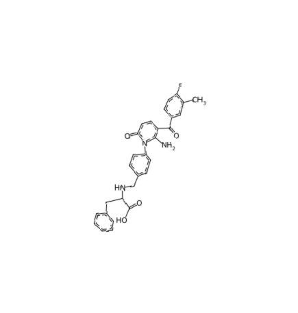 Cc1cc(C(=O)c2ccc(=O)n(-c3ccc(CNC(Cc4ccccc4)C(=O)O)cc3)c2N)ccc1F